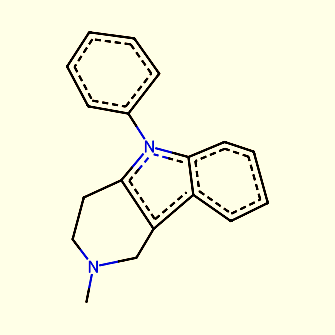 CN1CCc2c(c3ccccc3n2-c2ccccc2)C1